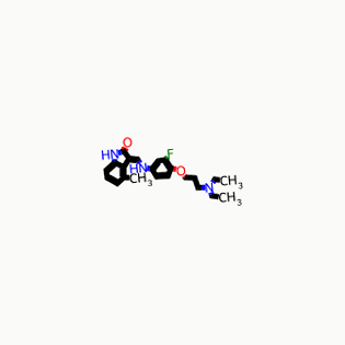 CCN(CC)CCCOc1ccc(N/C=C2/C(=O)Nc3cccc(C)c32)cc1F